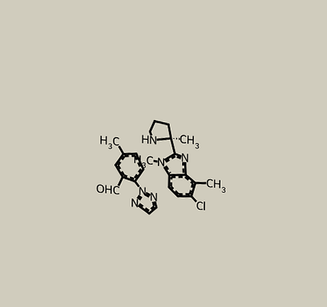 Cc1c(Cl)ccc2c1nc([C@]1(C)CCCN1)n2C.Cc1ccc(-n2nccn2)c(C=O)c1